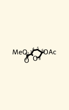 COC(=O)C1CCC(OC(C)=O)CO1